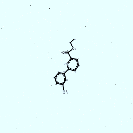 CCOC(=O)c1cccc(-c2cccc(N)c2)n1